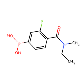 CCN(C)C(=O)c1ccc(B(O)O)cc1F